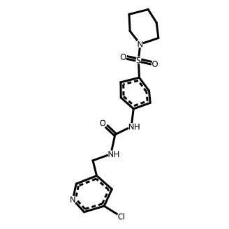 O=C(NCc1cncc(Cl)c1)Nc1ccc(S(=O)(=O)N2CCCCC2)cc1